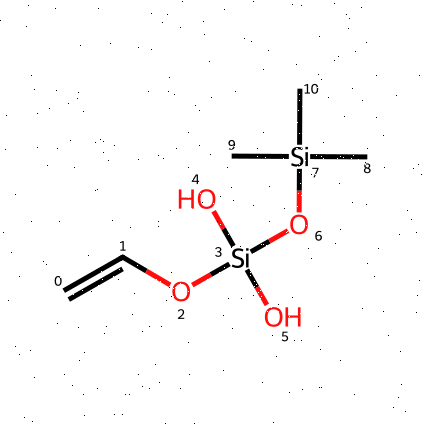 C=CO[Si](O)(O)O[Si](C)(C)C